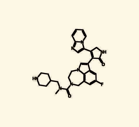 CN(CC1CCNCC1)C(=O)N1CCn2cc(C3=C(c4cnc5ccccn45)CNC3=O)c3cc(F)cc(c32)C1